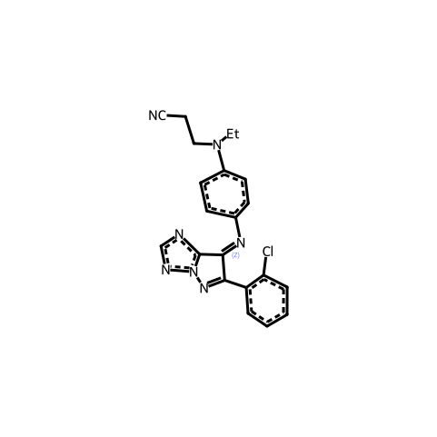 CCN(CCC#N)c1ccc(/N=C2/C(c3ccccc3Cl)=Nn3ncnc32)cc1